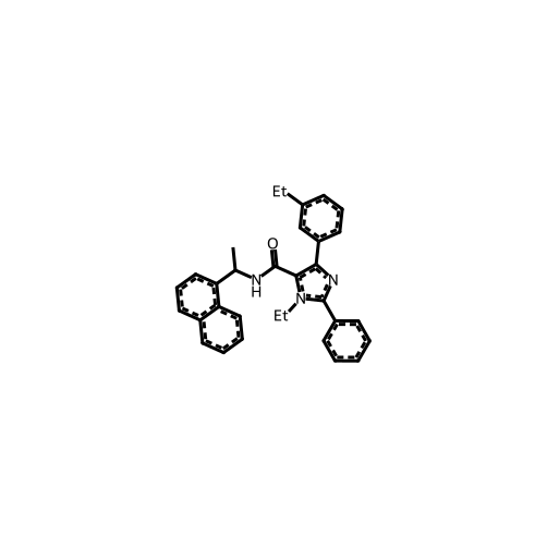 CCc1cccc(-c2nc(-c3ccccc3)n(CC)c2C(=O)NC(C)c2cccc3ccccc23)c1